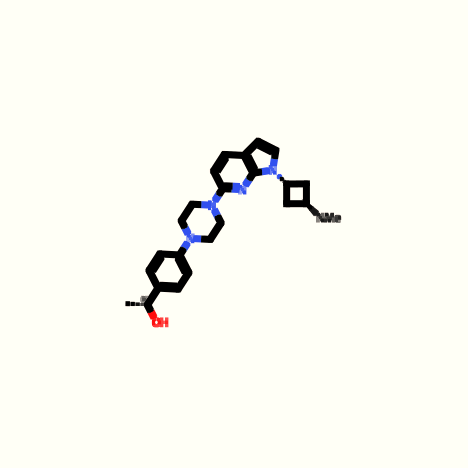 CN[C@H]1C[C@H](n2ccc3ccc(N4CCN(c5ccc([C@@H](C)O)cc5)CC4)nc32)C1